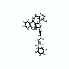 Cc1nnc2n1-c1sc(C#CCCN3Cc4ccccc4C3)cc1C(c1ccccc1Cl)=NC2